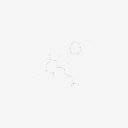 COc1ccc(N2C=C3C(O)=CC(OC)C(=O)C3=C(C=CC(=O)O)C2)cc1